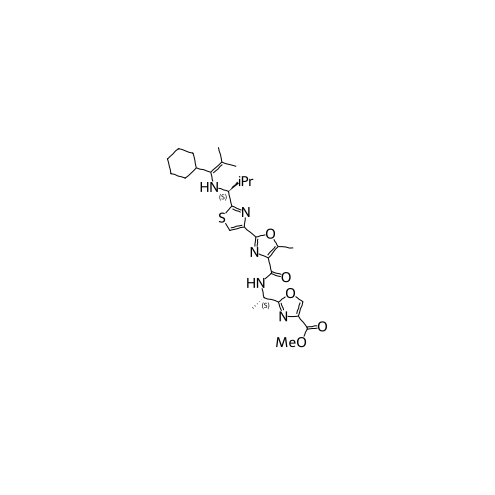 COC(=O)c1coc([C@H](C)NC(=O)c2nc(-c3csc([C@@H](NC(=C(C)C)C4CCCCC4)C(C)C)n3)oc2C)n1